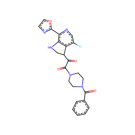 O=C(C(=O)N1CCN(C(=O)c2ccccc2)CC1)C1CNc2c(-c3ncco3)ncc(F)c21